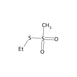 CCSS(C)(=O)=O